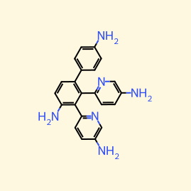 Nc1ccc(-c2ccc(N)c(-c3ccc(N)cn3)c2-c2ccc(N)cn2)cc1